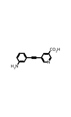 Nc1cccc(C#Cc2cncc(C(=O)O)c2)c1